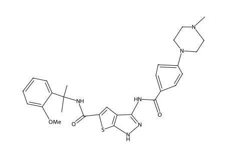 COc1ccccc1C(C)(C)NC(=O)c1cc2c(NC(=O)c3ccc(N4CCN(C)CC4)cc3)n[nH]c2s1